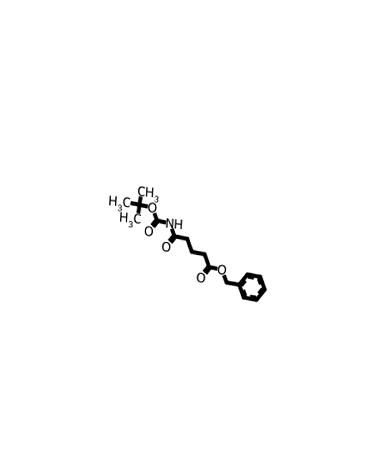 CC(C)(C)OC(=O)NC(=O)CCCC(=O)OCc1ccccc1